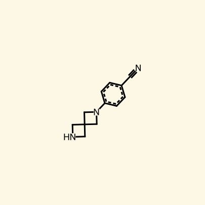 N#Cc1ccc(N2CC3(CNC3)C2)cc1